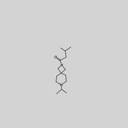 CC(C)CC(=O)N1CC2(CCN(C(C)C)CC2)C1